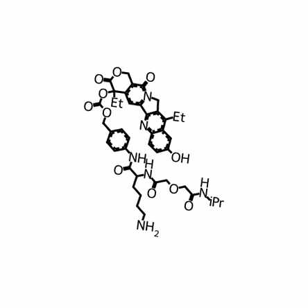 CCc1c2c(nc3ccc(O)cc13)-c1cc3c(c(=O)n1C2)COC(=O)C3(CC)OC(=O)OCc1ccc(NC(=O)C(CCCCN)NC(=O)COCC(=O)NC(C)C)cc1